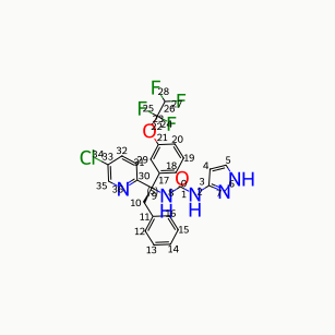 O=C(Nc1cc[nH]n1)N[C@@](Cc1ccccc1)(c1cccc(OC(F)(F)C(F)F)c1)c1ccc(Cl)cn1